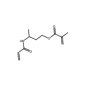 C=CC(=O)NC(C)CCOC(=O)C(=C)C